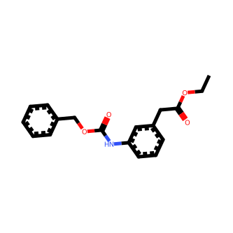 CCOC(=O)Cc1cccc(NC(=O)OCc2ccccc2)c1